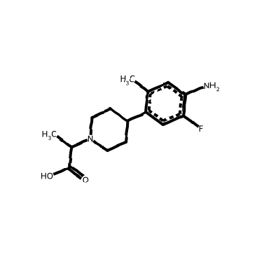 Cc1cc(N)c(F)cc1C1CCN(C(C)C(=O)O)CC1